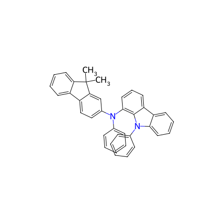 CC1(C)c2ccccc2-c2ccc(N(c3ccccc3)c3cccc4c5ccccc5n(-c5ccccc5)c34)cc21